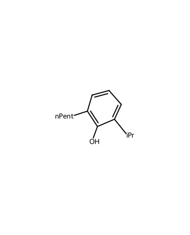 CCCCCc1cccc(C(C)C)c1O